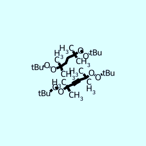 CC(C)(C)OOC(C)(C)C#CC(C)(C)OOC(C)(C)C.CC(C)(C)OOC(C)(C)CCC(C)(C)OOC(C)(C)C